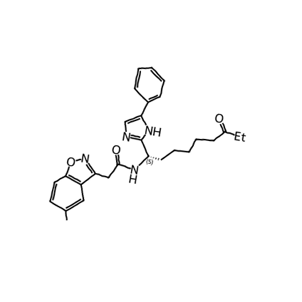 CCC(=O)CCCCC[C@H](NC(=O)Cc1noc2ccc(C)cc12)c1ncc(-c2ccccc2)[nH]1